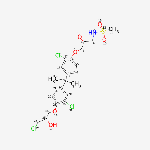 CC(C)(c1ccc(OCC(=O)CNS(C)(=O)=O)c(Cl)c1)c1ccc(OC[C@H](O)CCl)c(Cl)c1